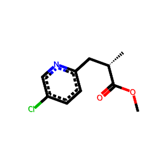 COC(=O)[C@@H](C)Cc1ccc(Cl)cn1